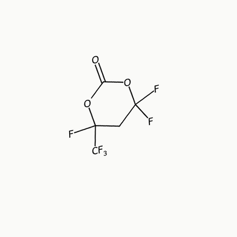 O=C1OC(F)(F)CC(F)(C(F)(F)F)O1